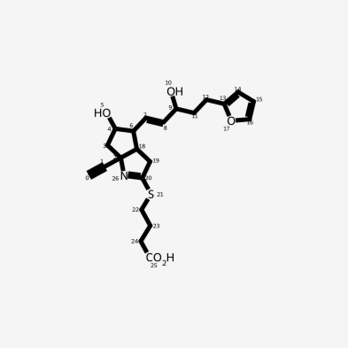 C#CC12CC(O)C(C=CC(O)CCc3ccco3)C1CC(SCCCC(=O)O)=N2